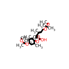 COC(C)(C)OC/C=C(\C)C#C[C@]1(OC(=O)O)[C@H](C)C[C@@H](OC(C)(C)OC)CC1(C)C